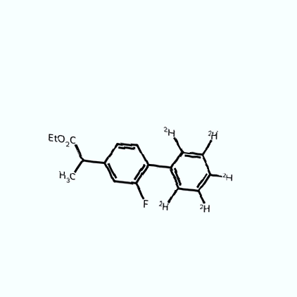 [2H]c1c([2H])c([2H])c(-c2ccc(C(C)C(=O)OCC)cc2F)c([2H])c1[2H]